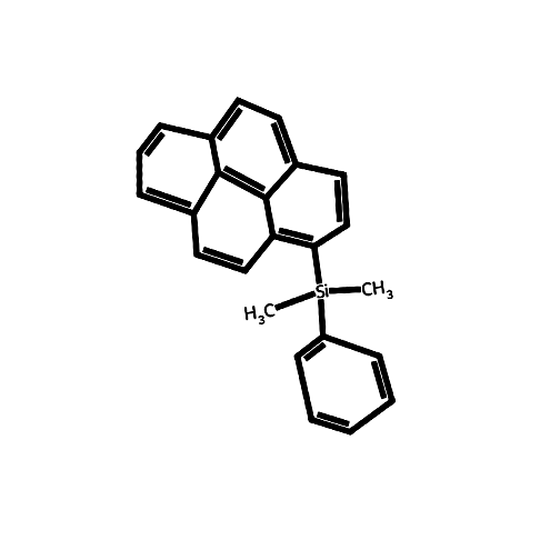 C[Si](C)(c1ccccc1)c1ccc2ccc3cccc4ccc1c2c34